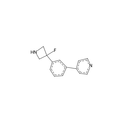 FC1(c2cccc(-c3ccncc3)c2)CNC1